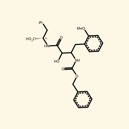 COc1ccccc1CC(NC(=O)OCc1ccccc1)C(O)C(=O)N[C@@H](CC(C)C)C(=O)O